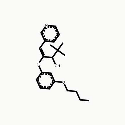 CCCCOc1cccc(OC(=Cc2cccnc2)C(O)C(C)(C)C)c1